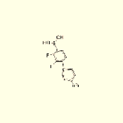 CCCc1ccc(-c2ccc(B(O)O)c(F)c2F)cc1